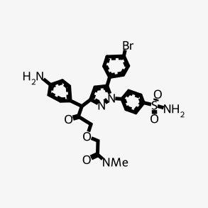 CNC(=O)COCC(=O)C(c1ccc(N)cc1)c1cc(-c2ccc(Br)cc2)n(-c2ccc(S(N)(=O)=O)cc2)n1